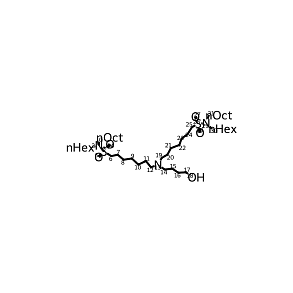 CCCCCCCCN(CCCCCC)S(=O)(=O)CCCCCCCN(CCCCO)CCCCCCCS(=O)(=O)N(CCCCCC)CCCCCCCC